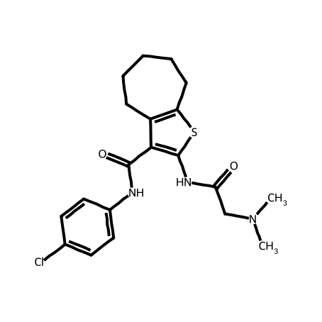 CN(C)CC(=O)Nc1sc2c(c1C(=O)Nc1ccc(Cl)cc1)CCCCC2